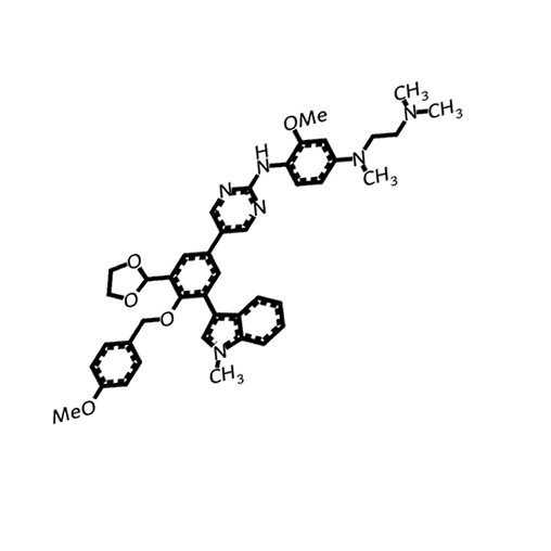 COc1ccc(COc2c(-c3cn(C)c4ccccc34)cc(-c3cnc(Nc4ccc(N(C)CCN(C)C)cc4OC)nc3)cc2C2OCCO2)cc1